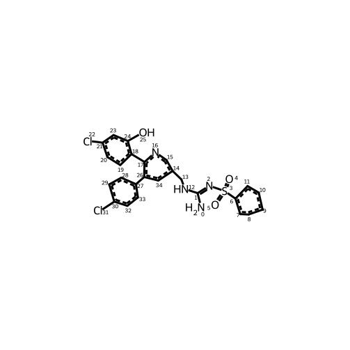 N/C(=N\S(=O)(=O)c1ccccc1)NCc1cnc(-c2ccc(Cl)cc2O)c(-c2ccc(Cl)cc2)c1